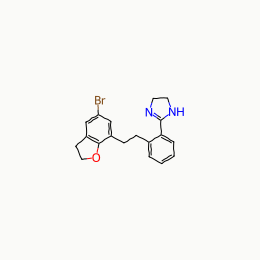 Brc1cc2c(c(CCc3ccccc3C3=NCCN3)c1)OCC2